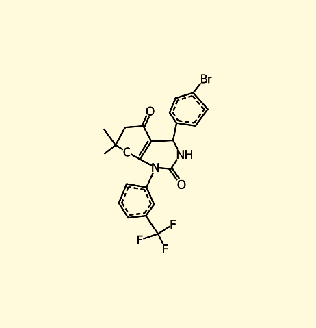 CC1(C)CC(=O)C2=C(C1)N(c1cccc(C(F)(F)F)c1)C(=O)NC2c1ccc(Br)cc1